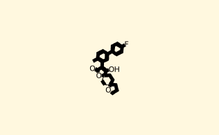 Cc1ccc(-c2ccc(F)cc2)cc1C1=C(O)[C@]2(CC[C@@]3(CCCO3)CC2)OC1=O